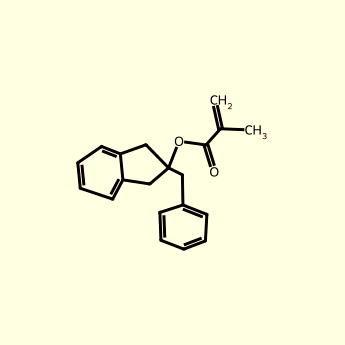 C=C(C)C(=O)OC1(Cc2ccccc2)Cc2ccccc2C1